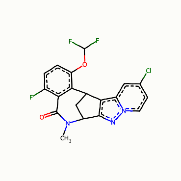 CN1C(=O)c2c(F)ccc(OC(F)F)c2C2CC1c1nn3ccc(Cl)cc3c12